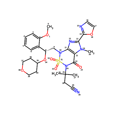 COc1ccccc1[C@H](CN1c2nc(-c3ncco3)n(C)c2C(=O)N(C(C)(C)CC#N)S1(=O)=O)OC1CCOCC1